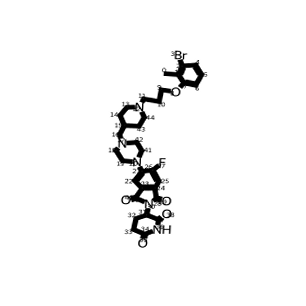 Cc1c(Br)cccc1OCCCN1CCC(CN2CCN(c3cc4c(cc3F)C(=O)N(C3CCC(=O)NC3=O)C4=O)CC2)CC1